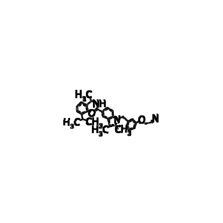 Cc1c(C)n(Cc2cccc(OCC#N)c2)c2ccc(C(=O)NC(C)c3cccc(C(C)C)c3)cc12